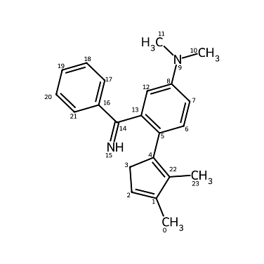 CC1=CCC(c2ccc(N(C)C)cc2C(=N)c2ccccc2)=C1C